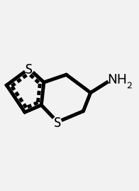 NC1CSc2ccsc2C1